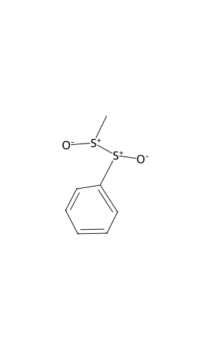 C[S+]([O-])[S+]([O-])c1ccccc1